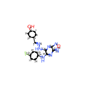 Oc1ccc(C=NNc2nc3nonc3nc2Nc2ccc(F)cc2)cc1